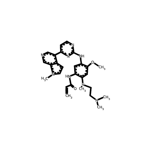 C=CC(=O)Nc1cc(Nc2nccc(-c3cncc4c3ccn4C)n2)c(OC)cc1N(C)CCN(C)C